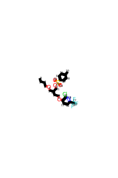 CCCCOCC(CCOc1ccc(C(F)(F)F)nc1Cl)COS(=O)(=O)c1ccc(C)cc1